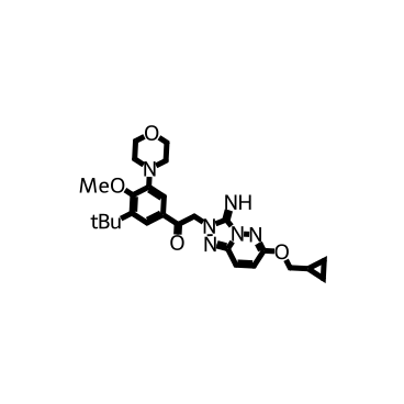 COc1c(N2CCOCC2)cc(C(=O)Cn2nc3ccc(OCC4CC4)nn3c2=N)cc1C(C)(C)C